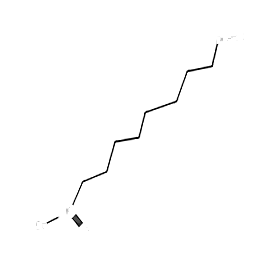 CCCCCCCCCCCCCCC[PH](=O)CC